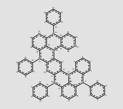 c1ccc(-n2c3ccccc3n3c4cc5c(nc4n(-c4ccccc4)c4cccc2c43)n(-c2ccccc2)c2ccnc3c2n5c2cnccc2n3-c2ccccc2)cc1